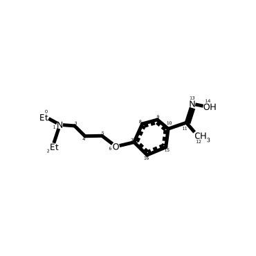 CCN(CC)CCCOc1ccc(C(C)=NO)cc1